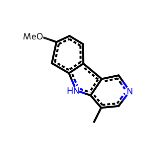 COc1ccc2c(c1)[nH]c1c(C)cncc12